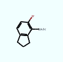 CC(=O)Nc1c(Br)ccc2c1CCC2